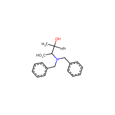 CCCC(C)(O)C(C(=O)O)N(Cc1ccccc1)Cc1ccccc1